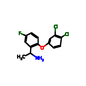 CC(N)c1cc(F)ccc1Oc1ccc(Cl)c(Cl)c1